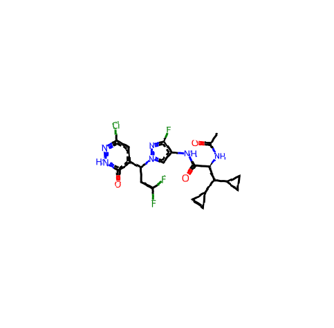 CC(=O)N[C@H](C(=O)Nc1cn(C(CC(F)F)c2cc(Cl)n[nH]c2=O)nc1F)C(C1CC1)C1CC1